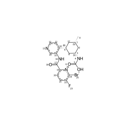 C[C@@H]1C[C@H](NC(=O)O)C[C@H](c2ccncc2NC(=O)c2ccc(F)c(Br)n2)C1